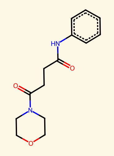 O=C(CCC(=O)N1CCOCC1)Nc1ccccc1